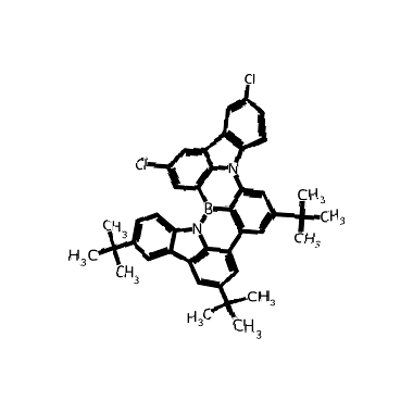 CC(C)(C)c1cc2c3c(c1)-n1c4ccc(Cl)cc4c4cc(Cl)cc(c41)B3n1c3ccc(C(C)(C)C)cc3c3cc(C(C)(C)C)cc-2c31